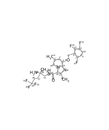 Cc1cc(OCc2c(F)ccc(F)c2F)c2nc(C)c(C(=O)NCC(C)(N)CCC(F)(F)F)n2c1